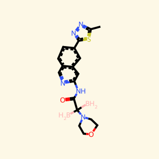 BC(B)(C(=O)Nc1cc2cc(-c3nnc(C)s3)ccc2cn1)N1CCOCC1